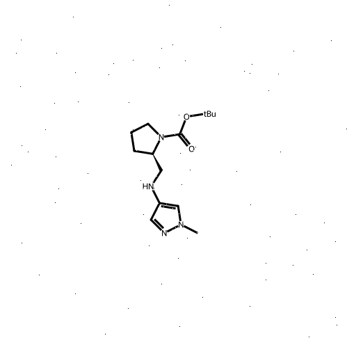 Cn1cc(NC[C@H]2CCCN2C(=O)OC(C)(C)C)cn1